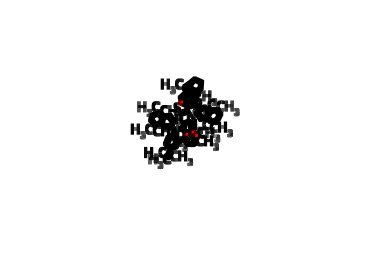 CC1c2cc3sc4c(c3cc2C2(C)CCCC1C2)N(c1cc2c(cc1-c1ccccc1)C(C)(C)CCC2(C)C)c1cc(C(C)(C)C)cc2c1B4c1cc3c(cc1N2c1ccc(C(C)(C)C)cc1-c1ccccc1)C(C)(C)CCC3(C)C